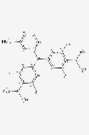 CCCCN(CCCC)c1c(C)cc(C(c2cccc(S(=O)(=O)O)c2)c2cc(C)c(N(CCCC)CCCC)c(C)c2)cc1C